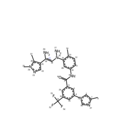 Cc1cn(-c2cc(C(=O)Nc3ccc(C)c(N(N)/C=C(\N)c4cnn(C)c4C)c3)cc(C(F)(F)F)c2)cn1